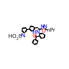 CCCc1nnc([C@H](Cc2ccc(-c3cccc(N(C)C(=O)O)c3)cc2)Nc2ccccc2C(=O)c2ccccc2)o1